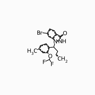 C=CCC(c1ccc(C)cc1OC(F)F)n1[nH]c(=O)c2ccc(Br)cc21